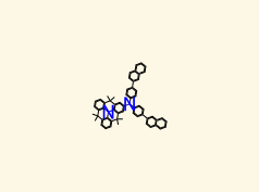 CC1(C)c2cccc3c2N2c4c1cccc4C(C)(C)c1cc(N(c4ccc(-c5ccc6ccccc6c5)cc4)c4ccc(-c5ccc6ccccc6c5)cc4)cc(c12)C3(C)C